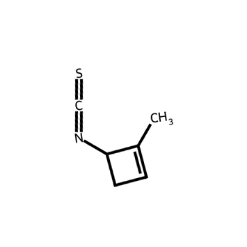 CC1=CCC1N=C=S